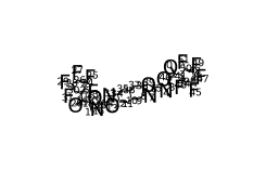 O=C(c1cnc(-c2nc3cc4cc5oc(-c6ncc(C(=O)c7c(F)c(F)c(F)c(F)c7F)o6)nc5cc4cc3o2)o1)c1c(F)c(F)c(F)c(F)c1F